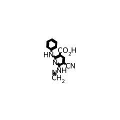 C=NNc1nc(Nc2ccccc2)c(C(=O)O)cc1C#N